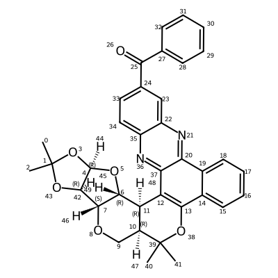 CC1(C)O[C@H]2O[C@H]3[C@H](OC[C@H]4[C@@H]3c3c(c5ccccc5c5nc6cc(C(=O)c7ccccc7)ccc6nc35)OC4(C)C)[C@H]2O1